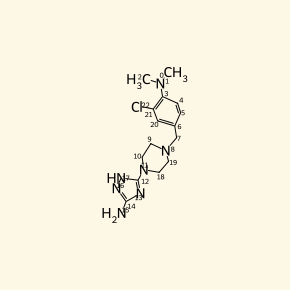 CN(C)c1ccc(CN2CCN(c3nc(N)n[nH]3)CC2)cc1Cl